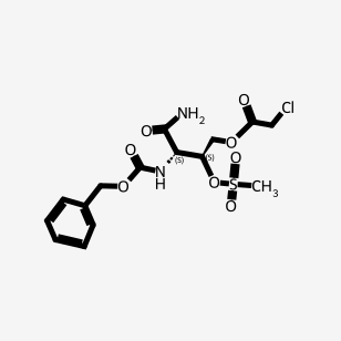 CS(=O)(=O)O[C@H](COC(=O)CCl)[C@H](NC(=O)OCc1ccccc1)C(N)=O